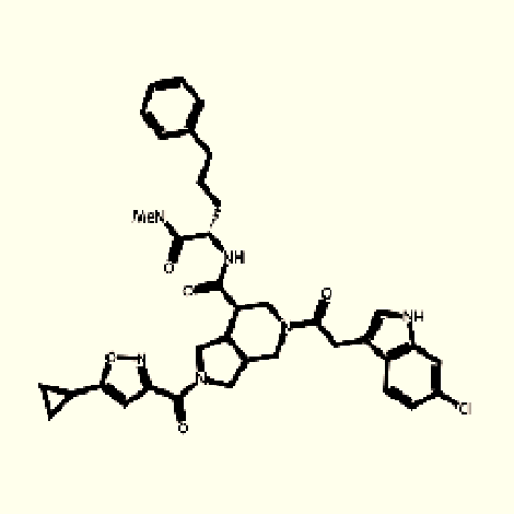 CNC(=O)[C@H](CCCc1ccccc1)NC(=O)C1CN(C(=O)Cc2c[nH]c3cc(Cl)ccc23)CC2CN(C(=O)c3cc(C4CC4)on3)CC21